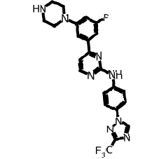 Fc1cc(-c2ccnc(Nc3ccc(-n4cnc(C(F)(F)F)n4)cc3)n2)cc(N2CCNCC2)c1